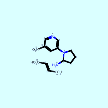 NC1CCCN1c1cncc([N+](=O)[O-])c1.O=C(O)/C=C/C(=O)O